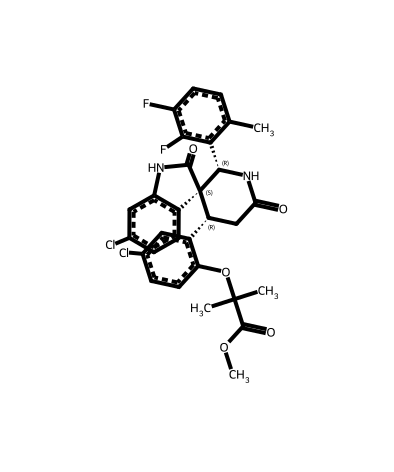 COC(=O)C(C)(C)Oc1ccc(Cl)cc1[C@H]1CC(=O)N[C@@H](c2c(C)ccc(F)c2F)[C@]12C(=O)Nc1cc(Cl)ccc12